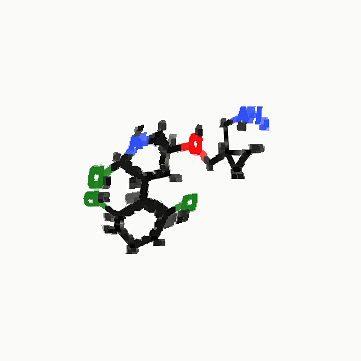 NCC1(COc2cnc(Cl)c(-c3c(Cl)cccc3Cl)c2)CC1